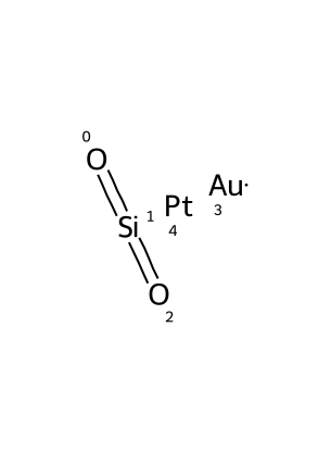 O=[Si]=O.[Au].[Pt]